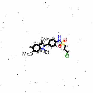 CCn1c(-c2ccc(NS(=O)(=O)CCCCl)cc2)c(C#N)c2ccc(OC)cc21